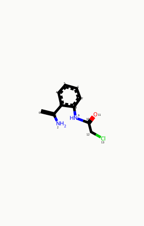 C=C(N)c1ccccc1NC(=O)CCl